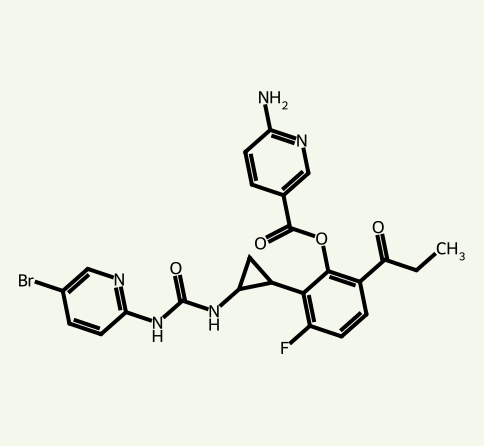 CCC(=O)c1ccc(F)c(C2CC2NC(=O)Nc2ccc(Br)cn2)c1OC(=O)c1ccc(N)nc1